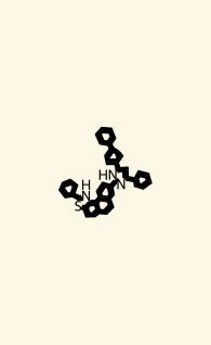 C1=CCC(C2Nc3c(ccc4ccc5cc(C6=NC(c7ccccc7)=CC(c7ccc(-c8ccccc8)cc7)N6)ccc5c34)S2)C=C1